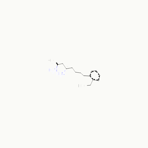 C=C(N)C[C@H](N)CCCCc1ccccc1CC